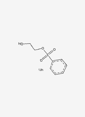 O=S(=O)(OCCO)c1ccccc1.[LiH]